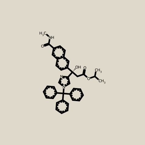 CNC(=O)c1ccc2cc([C@@](O)(CC(=O)OC(C)C)c3cn(C(c4ccccc4)(c4ccccc4)c4ccccc4)cn3)ccc2c1